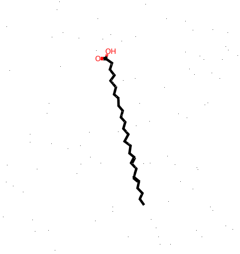 CCCCC=CCC=CCCCCCCCCCCCCCCCCC(=O)O